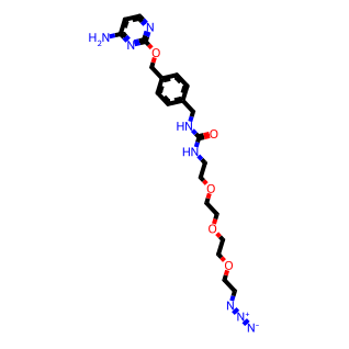 [N-]=[N+]=NCCOCCOCCOCCNC(=O)NCc1ccc(COc2nccc(N)n2)cc1